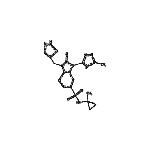 Cc1nnc(-n2c(=O)n(Cc3cn[nH]c3)c3ccc(S(=O)(=O)NC4(C)CC4)cc32)s1